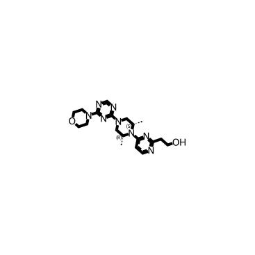 C[C@@H]1CN(c2ncnc(N3CCOCC3)n2)C[C@H](C)N1c1ccnc(CCO)n1